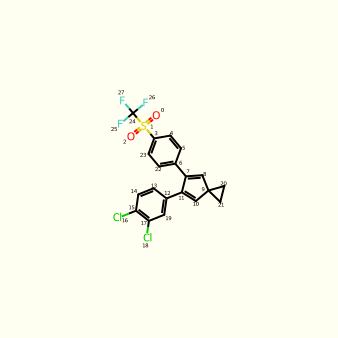 O=S(=O)(c1ccc(C2=CC3(C=C2c2ccc(Cl)c(Cl)c2)CC3)cc1)C(F)(F)F